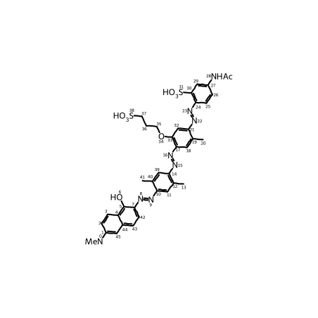 CNc1ccc2c(O)c(N=Nc3cc(C)c(N=Nc4cc(C)c(N=Nc5ccc(NC(C)=O)cc5S(=O)(=O)O)cc4OCCCS(=O)(=O)O)cc3C)ccc2c1